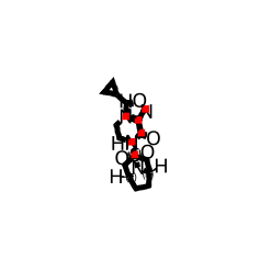 CC1CN(S(=O)(=O)N2[C@@H]3CC[C@H]2C[C@@H](NC(=O)c2cc(C4CC4)on2)C3)CCN1